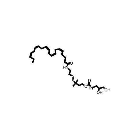 CC/C=C\C/C=C\C/C=C\C/C=C\C/C=C\CCCC(=O)NCCSSC(C)(C)CCOC(=O)NCC(O)CO